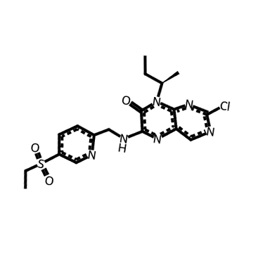 CC[C@@H](C)n1c(=O)c(NCc2ccc(S(=O)(=O)CC)cn2)nc2cnc(Cl)nc21